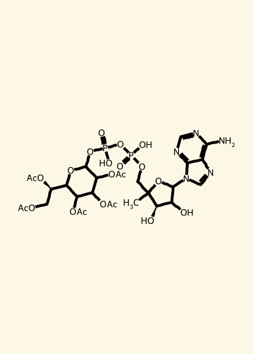 CC(=O)OC[C@@H](OC(C)=O)C1OC(OP(=O)(O)OP(=O)(O)OCC2(C)OC(n3cnc4c(N)ncnc43)C(O)[C@H]2O)C(OC(C)=O)C(OC(C)=O)C1OC(C)=O